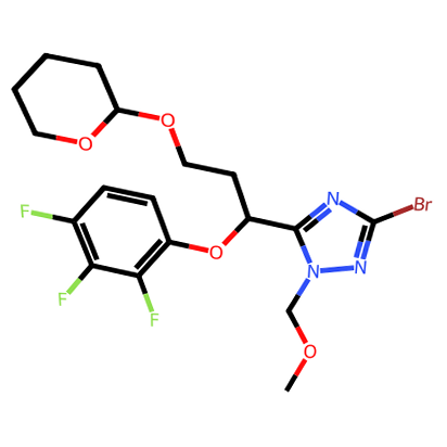 COCn1nc(Br)nc1C(CCOC1CCCCO1)Oc1ccc(F)c(F)c1F